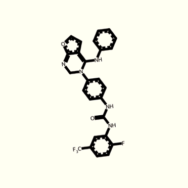 O=C(Nc1ccc(N2CN=c3occc3=C2Nc2ccccc2)cc1)Nc1cc(C(F)(F)F)ccc1F